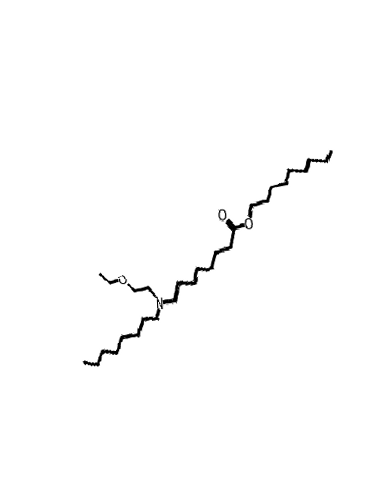 CCCCCCCCCOC(=O)CCCCCCCN(CCCCCCCC)CCOCC